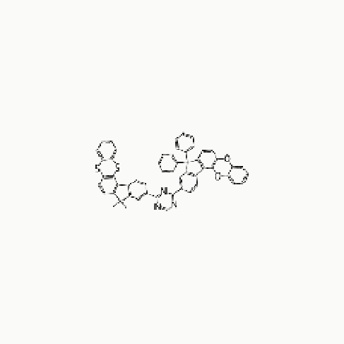 CC1(C)c2cc(-c3ncnc(-c4ccc5c(c4)C(c4ccccc4)(c4ccccc4)c4ccc6c(c4-5)Oc4ccccc4O6)n3)ccc2-c2c1ccc1c2Sc2ccccc2S1